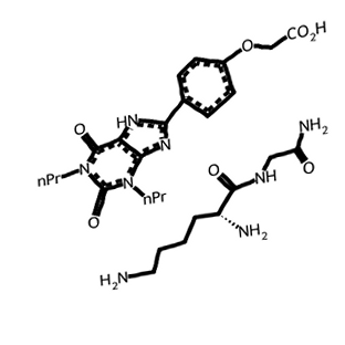 CCCn1c(=O)c2[nH]c(-c3ccc(OCC(=O)O)cc3)nc2n(CCC)c1=O.NCCCC[C@@H](N)C(=O)NCC(N)=O